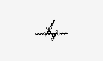 C=CCCCCOC(=O)c1cc(C=O)cc(-c2cc(C(=O)OCCCCC=C)cc(C(=O)OCCCCCC)c2)c1